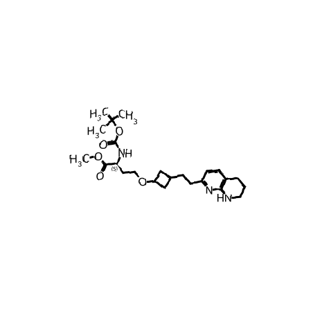 COC(=O)[C@H](CCOC1CC(CCc2ccc3c(n2)NCCC3)C1)NC(=O)OC(C)(C)C